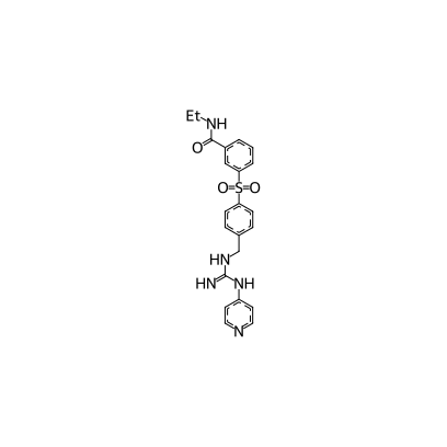 CCNC(=O)c1cccc(S(=O)(=O)c2ccc(CNC(=N)Nc3ccncc3)cc2)c1